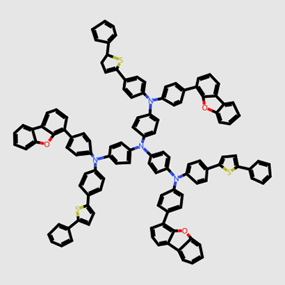 C1=C(c2ccc(N(c3ccc(-c4cccc5c4oc4ccccc45)cc3)c3ccc(N(c4ccc(N(c5ccc(-c6ccc(-c7ccccc7)s6)cc5)c5ccc(-c6cccc7c6oc6ccccc67)cc5)cc4)c4ccc(N(c5ccc(-c6ccc(-c7ccccc7)s6)cc5)c5ccc(-c6cccc7c6oc6ccccc67)cc5)cc4)cc3)cc2)SC(c2ccccc2)C1